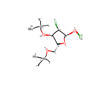 CC(C)(C)[Si](C)(C)OC[C@H]1O[C@H](OCl)[C@H](Cl)[C@@H]1O[Si](C)(C)C(C)(C)C